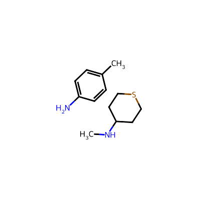 CNC1CCSCC1.Cc1ccc(N)cc1